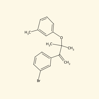 C=C(c1cccc(Br)c1)C(C)(C)Oc1cccc(C)c1